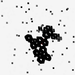 CC1(C)CCC(C)(C)c2cc(-c3ccc(-c4cc5c(cc4N(c4ccccc4)c4cccc6c4oc4ccccc46)C(c4ccccc4)(c4ccccc4)c4ccccc4-5)cc3)ccc21